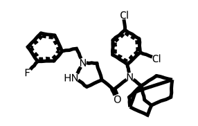 O=C(C1CNN(Cc2cccc(F)c2)C1)N(c1ccc(Cl)cc1Cl)C12CC3CC(CC(C3)C1)C2